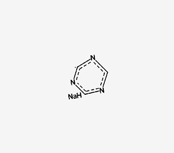 [NaH].[c]1ncncn1